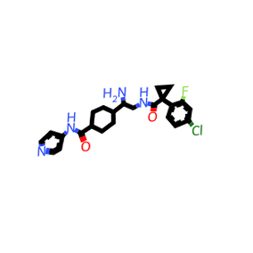 NC(CNC(=O)C1(c2ccc(Cl)cc2F)CC1)C1CCC(C(=O)Nc2ccncc2)CC1